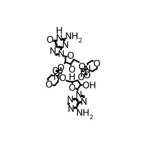 Nc1nc2c(ncn2C2OC3COP(=O)(N4CCOCC4)OC4C(COP(=O)(N5CCOCC5)OC2C3O)OC(n2cnc3c(N)ncnc32)C4O)c(=O)[nH]1